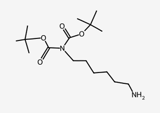 CC(C)(C)OC(=O)N(CCCCCCN)C(=O)OC(C)(C)C